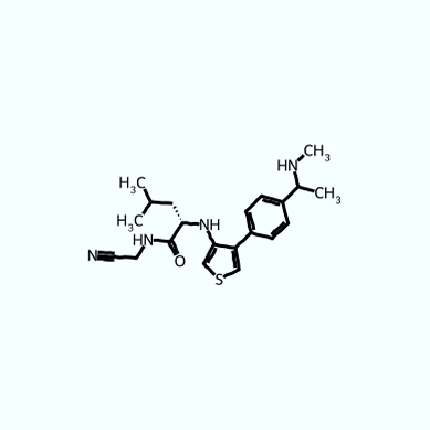 CNC(C)c1ccc(-c2cscc2N[C@@H](CC(C)C)C(=O)NCC#N)cc1